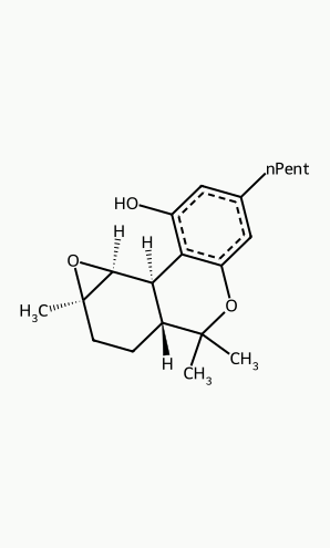 CCCCCc1cc(O)c2c(c1)OC(C)(C)[C@@H]1CC[C@@]3(C)O[C@H]3[C@@H]21